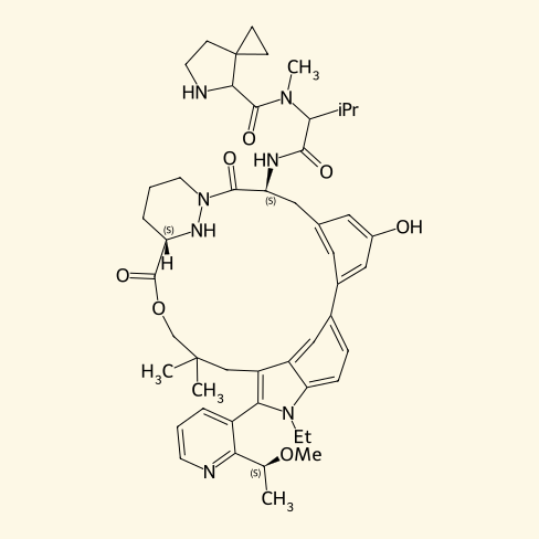 CCn1c(-c2cccnc2[C@H](C)OC)c2c3cc(ccc31)-c1cc(O)cc(c1)C[C@H](NC(=O)C(C(C)C)N(C)C(=O)C1NCCC13CC3)C(=O)N1CCC[C@H](N1)C(=O)OCC(C)(C)C2